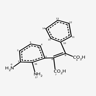 Nc1cccc(C(C(=O)O)=C(C(=O)O)c2ccccc2)c1N